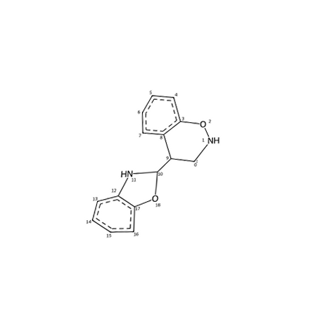 [C]1NOc2ccccc2C1C1Nc2ccccc2O1